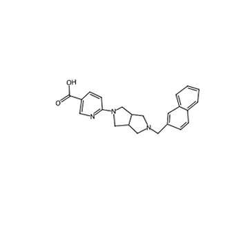 O=C(O)c1ccc(N2CC3CN(Cc4ccc5ccccc5c4)CC3C2)nc1